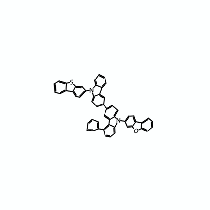 c1ccc(-c2cccc3c2c2cc(-c4ccc5c(c4)c4ccccc4n5-c4ccc5c(c4)sc4ccccc45)ccc2n3-c2ccc3c(c2)oc2ccccc23)cc1